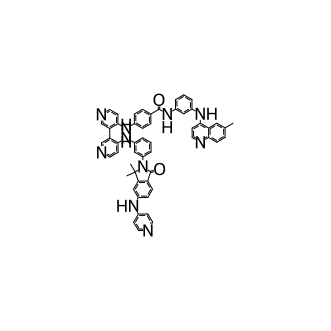 Cc1ccc2nccc(Nc3cccc(NC(=O)c4ccc(Nc5ccncc5-c5cnccc5Nc5cccc(N6C(=O)c7ccc(Nc8ccncc8)cc7C6(C)C)c5)cc4)c3)c2c1